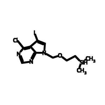 C[SiH](C)CCOCn1cc(I)c2c(Cl)ncnc21